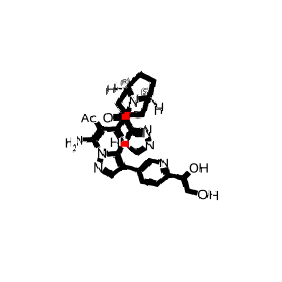 CC(=O)c1c(C2C[C@H]3CC[C@@H](C2)N3C(=O)c2nnc[nH]2)nc2c(-c3ccc(C(O)CO)nc3)cnn2c1N